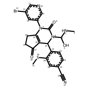 CNC(O)N1C(=O)N(c2cncc(Br)c2)C2=C(C(=O)CC2)C1c1ccc(C#N)cc1SC